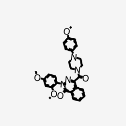 COc1ccc(N2CCN(C(=O)c3nn(-c4ccc(OC)cc4OC)c(=O)c4ccccc34)CC2)cc1